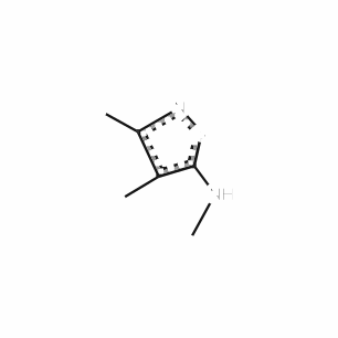 CNc1snc(C)c1C